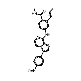 C/C=C/c1cc(Nc2nccn3c(-c4ccc(N=O)cc4)cnc23)ccc1C(=O)NC